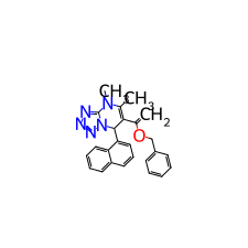 C=C(OCc1ccccc1)C1=C(C)N(C)c2nnnn2C1c1cccc2ccccc12